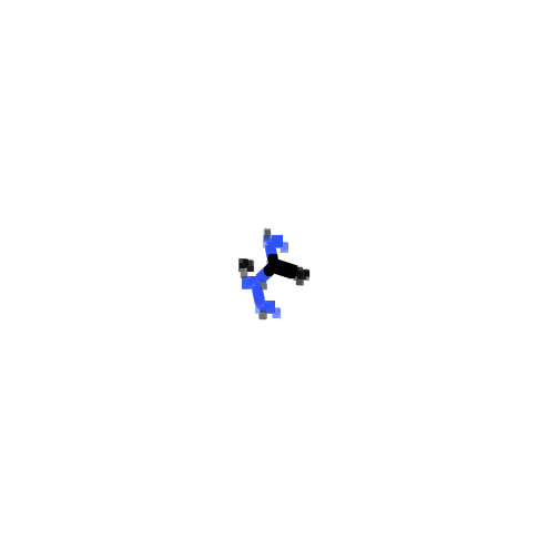 NNC(N)=[Se].[Pt]